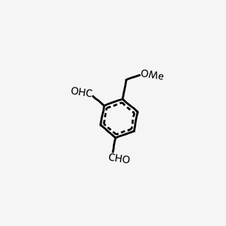 COCc1ccc(C=O)cc1C=O